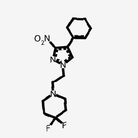 O=[N+]([O-])c1nn(CCN2CCC(F)(F)CC2)cc1C1=CCCCC1